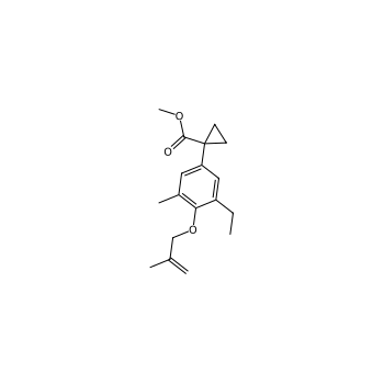 C=C(C)COc1c(C)cc(C2(C(=O)OC)CC2)cc1CC